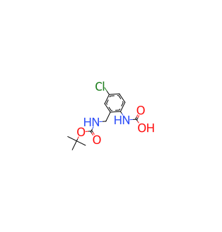 CC(C)(C)OC(=O)NCc1cc(Cl)ccc1NC(=O)O